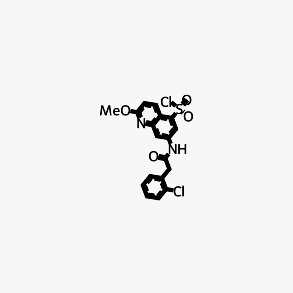 COc1ccc2c(S(=O)(=O)Cl)cc(NC(=O)Cc3ccccc3Cl)cc2n1